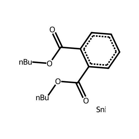 CCCCOC(=O)c1ccccc1C(=O)OCCCC.[Sn]